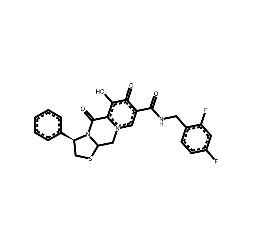 O=C(NCc1ccc(F)cc1F)c1cn2c(c(O)c1=O)C(=O)N1C(C2)SC[C@H]1c1ccccc1